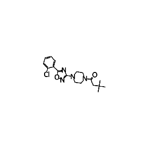 CC(C)(C)CC(=O)N1CCN(c2noc(-c3ccccc3Cl)n2)CC1